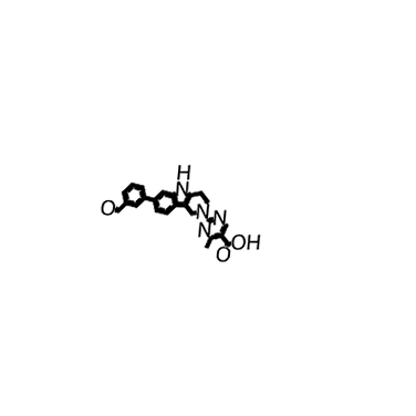 Cc1nc(N2CCc3[nH]c4cc(-c5cccc(C=O)c5)ccc4c3C2)ncc1C(=O)O